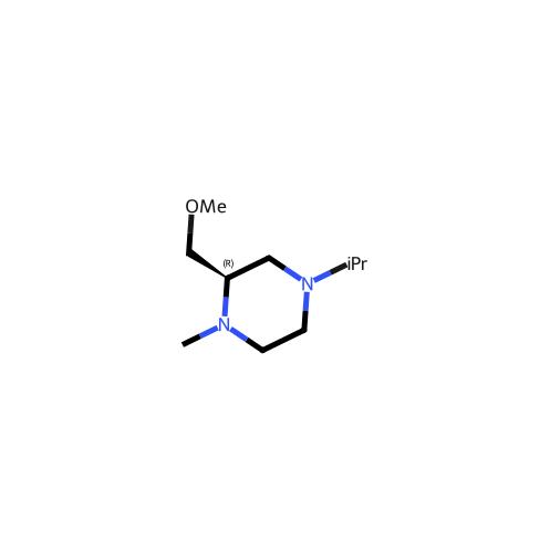 COC[C@H]1CN(C(C)C)CCN1C